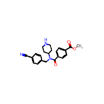 COC(=O)c1ccc(C(=O)N(Cc2ccc(C#N)cc2)C2CCNCC2)cc1